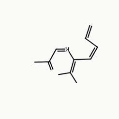 C=C/C=C\C(/N=C\C(=C)C)=C(C)C